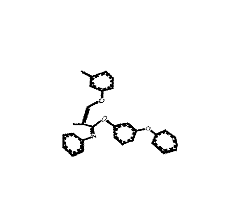 CC(=COc1cccc(C)c1)/C(=N\c1ccccc1)Oc1cccc(Oc2ccccc2)c1